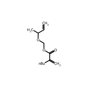 C=CC(C)OCOC(=O)C(=C)CCCC